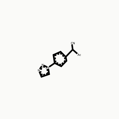 CC(=O)C(C#N)c1ccc(-n2c[c]nn2)cc1